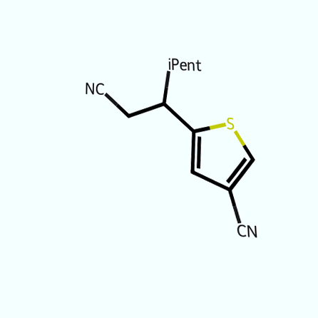 CCCC(C)C(CC#N)c1cc(C#N)cs1